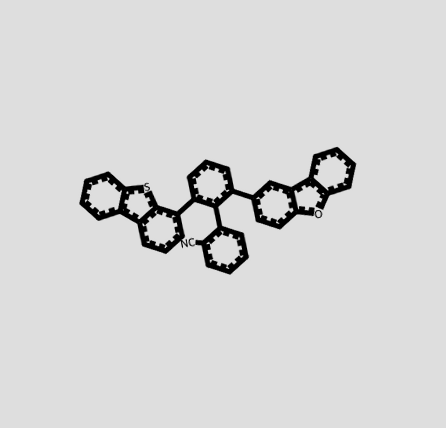 N#Cc1ccccc1-c1c(-c2ccc3oc4ccccc4c3c2)cccc1-c1cccc2c1sc1ccccc12